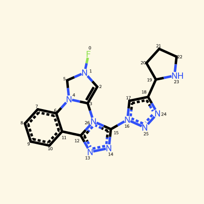 FN1C=C2N(C1)c1ccccc1-c1nnc(-n3cc(C4CCCN4)nn3)n12